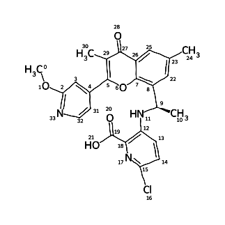 COc1cc(-c2oc3c([C@@H](C)Nc4ccc(Cl)nc4C(=O)O)cc(C)cc3c(=O)c2C)ccn1